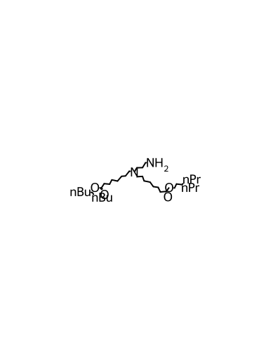 CCCCC(CCCC)OC(=O)CCCCCCCN(CCCN)CCCCCCCC(=O)OCCC(CCC)CCC